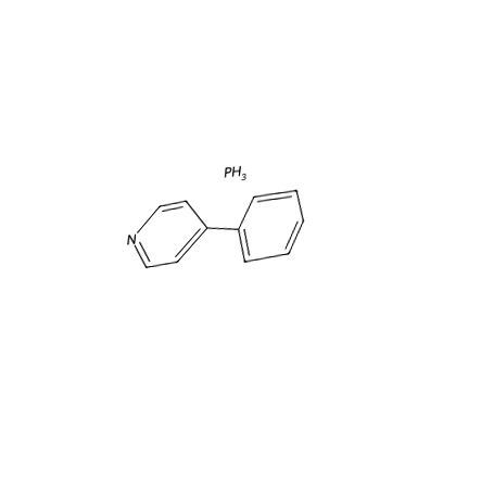 P.c1ccc(-c2ccncc2)cc1